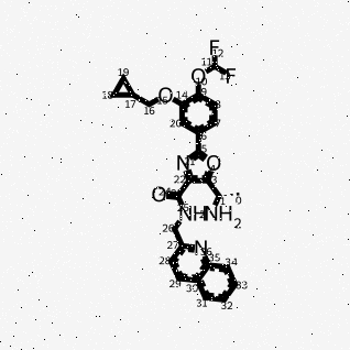 C[C@H](N)c1oc(-c2ccc(OC(F)F)c(OCC3CC3)c2)nc1C(=O)NCc1ccc2ccccc2n1